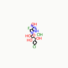 Cl.ON=c1nc[nH]c2c1c(F)cn2[C@@H]1O[C@H]([C@H](O)c2ccc(Cl)cc2)[C@@H](O)[C@H]1O